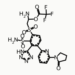 NC(CS(=O)(=O)c1ccc(-c2cccc(N3CCCC3=O)n2)c(-c2nnn[nH]2)c1S(N)(=O)=O)OC(=O)C(F)(F)F